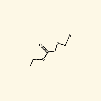 CCOC(=O)COCBr